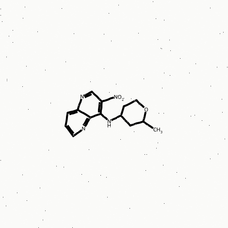 CC1CC(Nc2c([N+](=O)[O-])cnc3cccnc23)CCO1